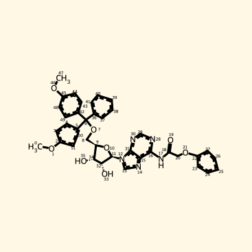 COc1ccc(C(OC[C@H]2O[C@@H](n3cnc4c(NC(=O)COc5ccccc5)ncnc43)[C@H](O)[C@@H]2O)(c2ccccc2)c2ccc(OC)cc2)cc1